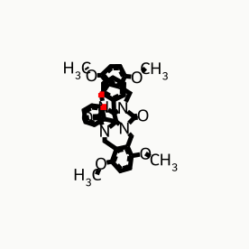 COc1ccc(OC)c2c1CN1C(=O)N3Cc4c(OC)ccc(OC)c4CN4C(=O)N(C2)C1(c1ccccc1)C34c1ccccc1